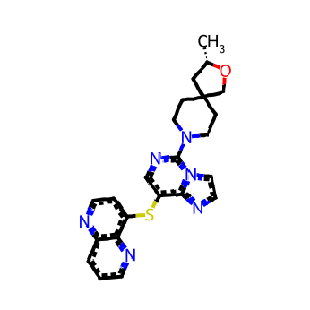 C[C@H]1CC2(CCN(c3ncc(Sc4ccnc5cccnc45)c4nccn34)CC2)CO1